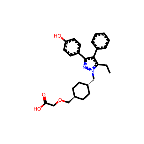 CCc1c(-c2ccccc2)c(-c2ccc(O)cc2)nn1C[C@H]1CC[C@H](COCC(=O)O)CC1